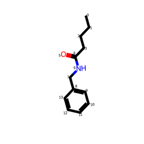 CCC[CH]C(=O)NCc1ccccc1